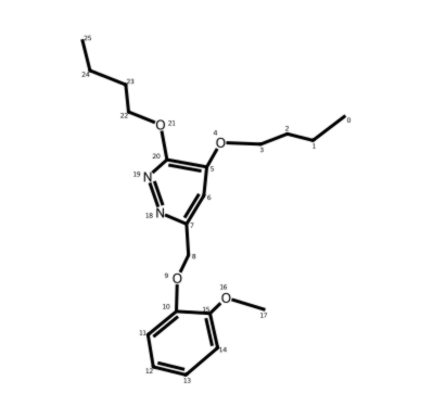 CCCCOc1cc(COc2ccccc2OC)nnc1OCCCC